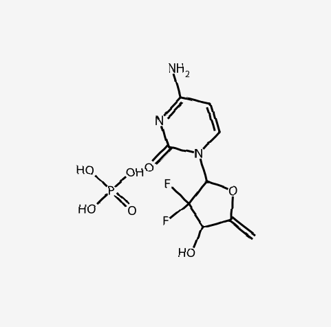 C=C1OC(n2ccc(N)nc2=O)C(F)(F)C1O.O=P(O)(O)O